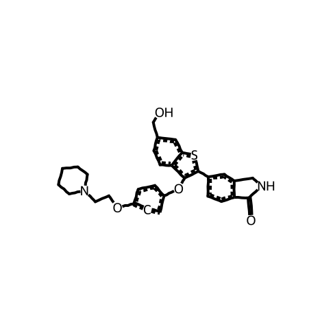 O=C1NCc2cc(-c3sc4cc(CO)ccc4c3Oc3ccc(OCCN4CCCCC4)cc3)ccc21